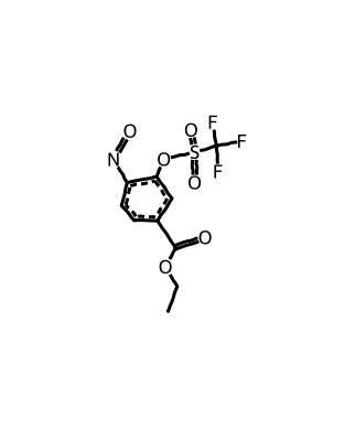 CCOC(=O)c1ccc(N=O)c(OS(=O)(=O)C(F)(F)F)c1